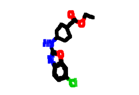 CCOC(=O)C1CCC(Nc2nc3ccc(Cl)cc3o2)CC1